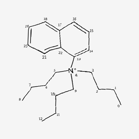 CCCC[N+](CCCC)(CCCC)c1cccc2ccccc12